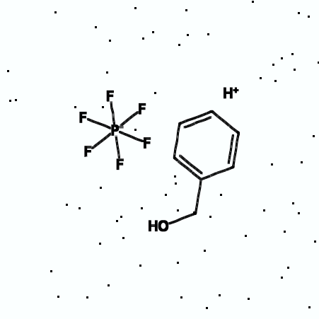 F[P-](F)(F)(F)(F)F.OCc1ccccc1.[H+]